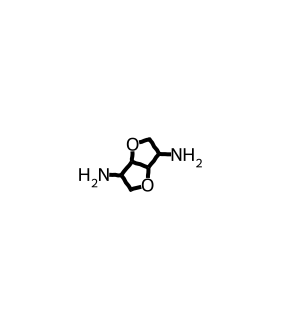 NC1COC2C(N)COC12